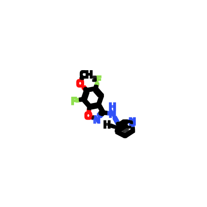 COc1c(F)cc2c(N[C@@H]3CN4CCC3CC4)noc2c1F